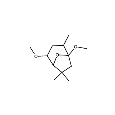 COC1CC(C)C2(OC)CC(C)(C)C1O2